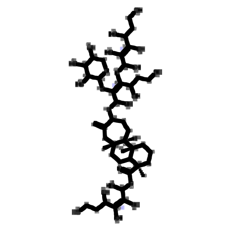 C=C1C[C@@]2(C)CCC3[C@](C)(C(=O)OC(O)/C(O)=C(/O)C(O)CCO)CCC[C@@]3(C)[C@@H]2CCC1OC(O)/C(OC1OCC(O)C(O)C1O)=C(/OC(O)/C(O)=C(\O)C(O)CCO)C(O)CCO